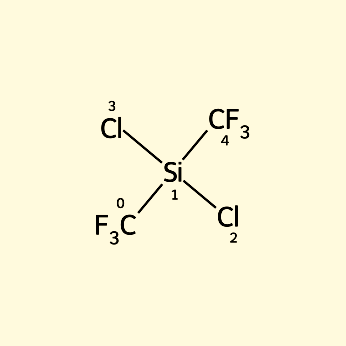 FC(F)(F)[Si](Cl)(Cl)C(F)(F)F